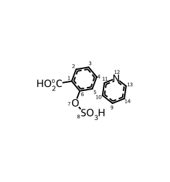 O=C(O)c1ccccc1OS(=O)(=O)O.c1ccncc1